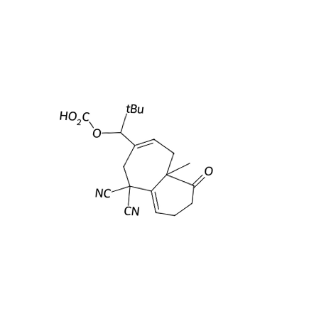 CC12CC=C(C(OC(=O)O)C(C)(C)C)CC(C#N)(C#N)C1=CCCC2=O